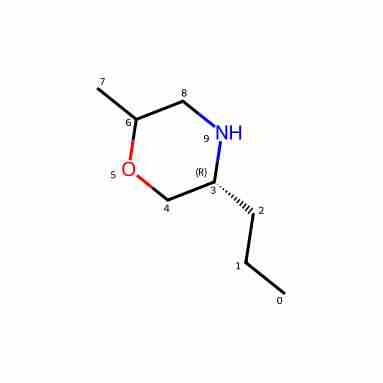 CCC[C@@H]1COC(C)CN1